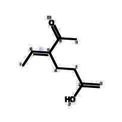 C=C(O)CC/C(=C\C)C(C)=O